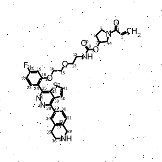 C=CC(=O)N1CCC(OC(=O)NCCOCCOc2cc(F)ccc2-c2nnc(-c3ccc4c(c3)CCNC4)c3ccsc23)C1